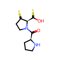 O=C([C@@H]1CCCN1)N1CCC(=S)[C@H]1C(O)=S